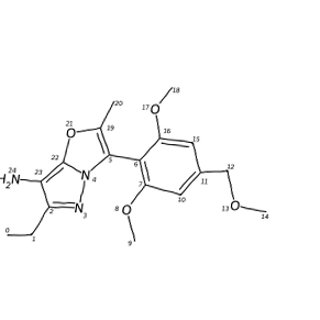 CCc1nn2c(-c3c(OC)cc(COC)cc3OC)c(C)oc2c1N